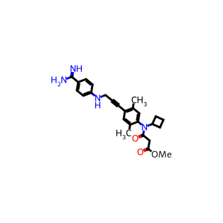 COC(=O)CC(=O)N(c1cc(C)c(C#CCNc2ccc(C(=N)N)cc2)cc1C)C1CCC1